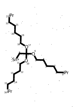 CC(C)CCCCCOC([CH2][Sn])(OCCCCCC(C)C)OCCCCCC(C)C